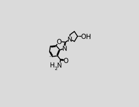 NC(=O)c1[c]ccc2oc(N3CC[C@@H](O)C3)nc12